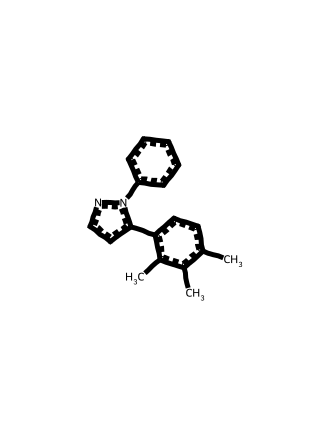 Cc1ccc(-c2ccnn2-c2ccccc2)c(C)c1C